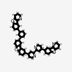 c1cc(-c2ccc3oc4ccc(-c5ccnc(-c6cc(-c7ccc8oc9cccnc9c8c7)ccn6)c5)cc4c3c2)cc(-c2ccc3oc4cccnc4c3c2)c1